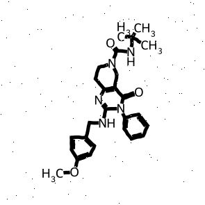 COc1ccc(CNc2nc3c(c(=O)n2-c2ccccc2)CN(C(=O)NC(C)(C)C)CC3)cc1